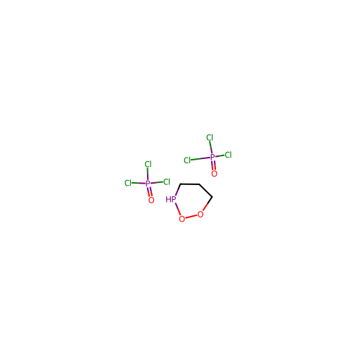 C1COOPC1.O=P(Cl)(Cl)Cl.O=P(Cl)(Cl)Cl